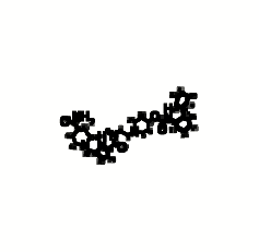 CN(CCN1CCC(OC(=O)Nc2ccccc2-c2ccccc2)CC1)C(=O)c1ccc(CN2CCC(C(N)=O)CC2)[nH]1